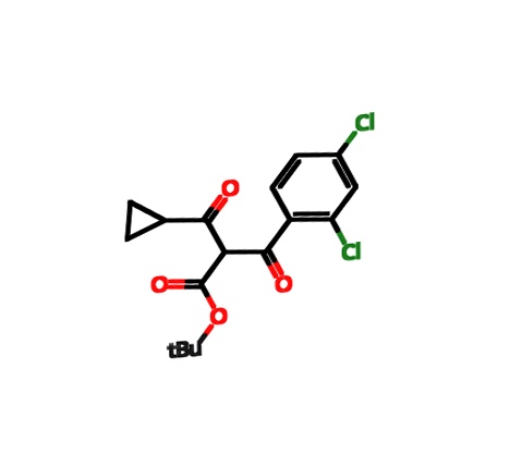 CC(C)(C)OC(=O)C(C(=O)c1ccc(Cl)cc1Cl)C(=O)C1CC1